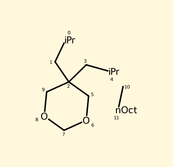 CC(C)CC1(CC(C)C)COCOC1.CCCCCCCCC